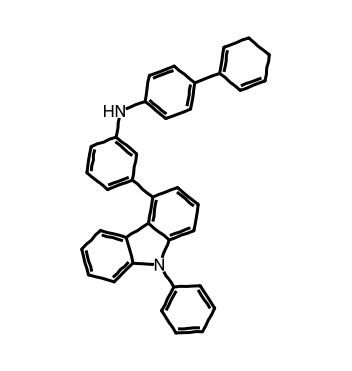 C1=CC(c2ccc(Nc3cccc(-c4cccc5c4c4ccccc4n5-c4ccccc4)c3)cc2)=CCC1